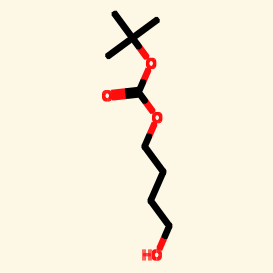 CC(C)(C)OC(=O)OCCCCO